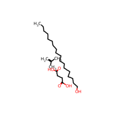 C=C(C)C.CCCCCCCCCCCCCCCCCCO.O=C(O)CCC(=O)O